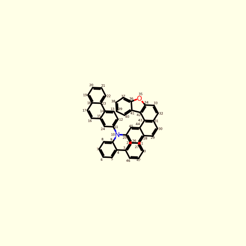 c1ccc(-c2ccccc2N(c2ccc3c(ccc4ccccc43)c2)c2ccc3ccc4ccc5oc6ccccc6c5c4c3c2)cc1